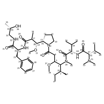 CC[C@H](C)C(C(CC(=O)N1CCC[C@H]1[C@H](OC)C(C)C(=O)N[C@@H](Cc1ccccc1)C(=O)NC[C@H](C)O)OC)N(C)C(=O)[C@@H](NC(=O)[C@H](C(C)C)N(C)C)C(C)C